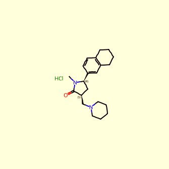 CN1C(=O)[C@H](CN2CCCCC2)C[C@@H]1c1ccc2c(c1)CCCC2.Cl